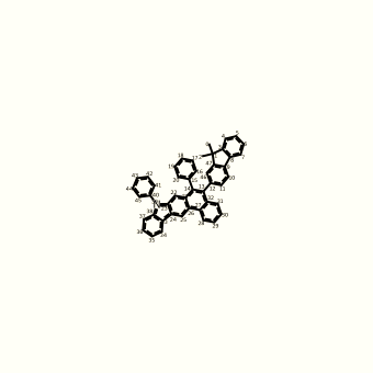 CC1(C)c2ccccc2-c2ccc(-c3c(-c4ccccc4)c4cc5c(cc4c4ccccc34)c3ccccc3n5-c3ccccc3)cc21